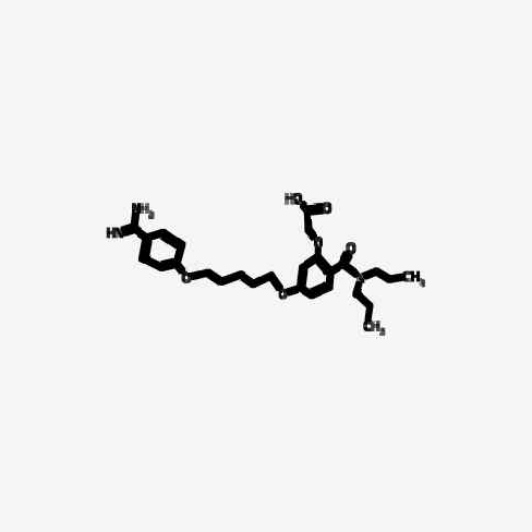 CCCN(CCC)C(=O)c1ccc(OCCCCCOc2ccc(C(=N)N)cc2)cc1OCC(=O)O